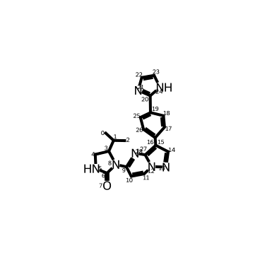 CC(C)C1CNC(=O)N1c1ccn2ncc(-c3ccc(-c4ncc[nH]4)cc3)c2n1